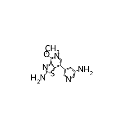 COc1ncc(-c2cncc(N)c2)c2sc(N)nc12